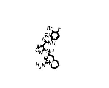 N[S+]([O-])N1CCCCC1CCNc1nonc1/C(=N/O)Nc1ccc(F)c(Br)c1